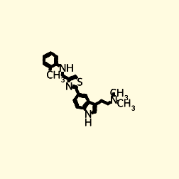 Cc1ccccc1NCc1csc(-c2ccc3[nH]cc(CCN(C)C)c3c2)n1